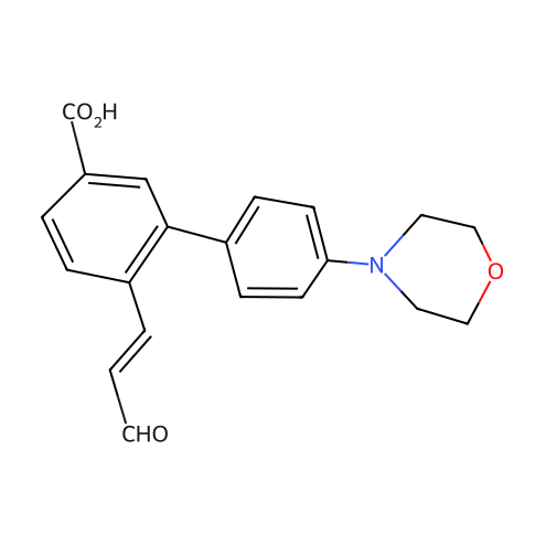 O=CC=Cc1ccc(C(=O)O)cc1-c1ccc(N2CCOCC2)cc1